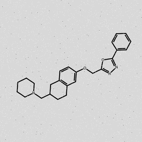 c1ccc(-c2nnc(COc3ccc4c(c3)CCC(CN3CCCCC3)C4)o2)cc1